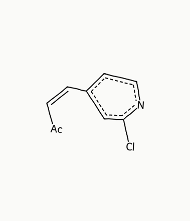 CC(=O)/C=C\c1ccnc(Cl)c1